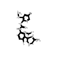 COc1cc(Br)cnc1OC(=O)Nc1ccc(F)c([C@]2(C(F)F)COCC(N)=N2)c1